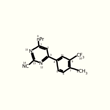 CCCc1cc(-c2ccc(C)c(C(F)(F)F)c2)nc(C#N)n1